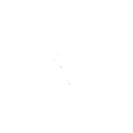 C/C=C\C(=C/C)c1cn([C@@H]2C[C@@H](O)[C@H](CO)O2)c(=O)[nH]c1=O